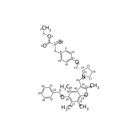 CCOC(=O)C(Br)Cc1ccc(OC[C@@H]2CCCN2Cc2c(C)oc3c(C)c(C)c(OCc4ccccc4)c(C)c23)cc1